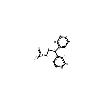 O=[SH](=O)CCC(c1ccccc1)c1ccccc1